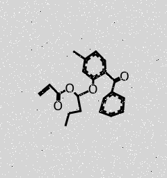 C=CC(=O)OC(CCC)Oc1cc(C)ccc1C(=O)c1ccccc1